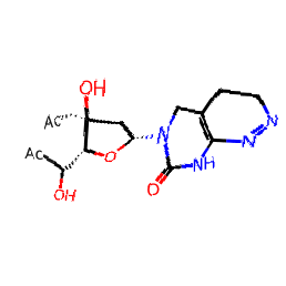 CC(=O)C(O)[C@H]1O[C@@H](N2CC3=C(N=NCC3)NC2=O)C[C@@]1(O)C(C)=O